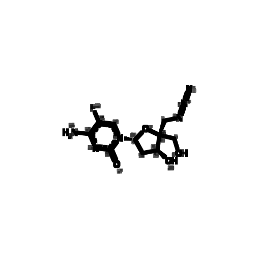 [N-]=[N+]=NC[C@]1(CO)O[C@@H](n2cc(F)c(N)nc2=O)C[C@@H]1O